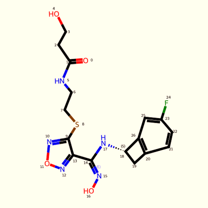 O=C(CCO)NCCSc1nonc1/C(=N\O)N[C@H]1Cc2ccc(F)cc21